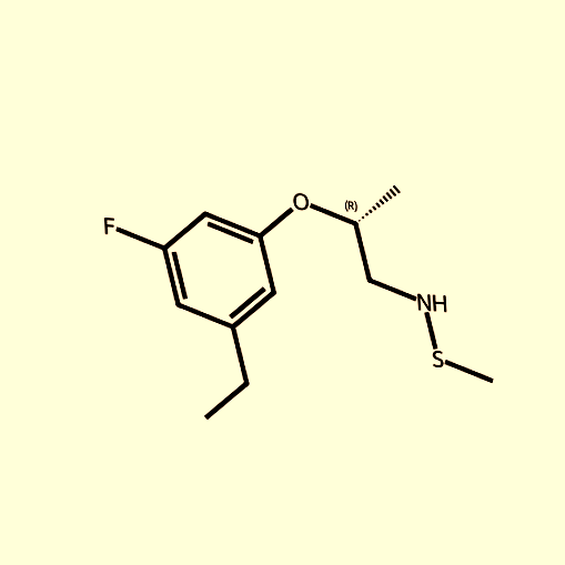 CCc1cc(F)cc(O[C@H](C)CNSC)c1